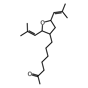 CC(=O)CCCCCC1CC(C=C(C)C)OC1C=C(C)C